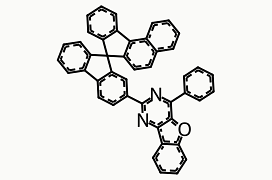 c1ccc(-c2nc(-c3ccc4c(c3)C3(c5ccccc5-4)c4ccccc4-c4c3ccc3ccccc43)nc3c2oc2ccccc23)cc1